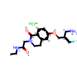 CCNC(=O)CN1CCc2cc(OC/C(=C/F)CN)ccc2C1=O.Cl